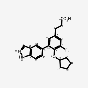 O=C(O)CCc1cc(F)c(OC2CCCC2)c(-c2ccc3[nH]ncc3c2)c1